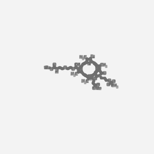 CCC1=C(C)c2cc3[nH]c(cc4nc(c5c6[nH]c(cc1n2)c(C)c6C(=O)N(CCCOS(C)(=O)=O)C5=O)[C@@H](CCC(=O)OC)[C@@H]4C)c(C)c3C(C)OCCOCCNC(=O)OC(C)(C)C